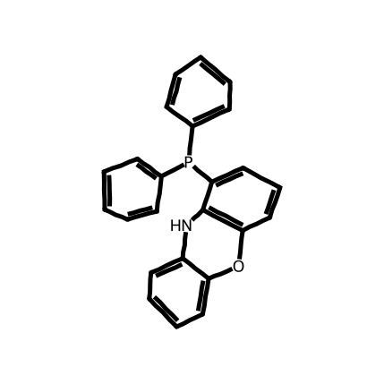 c1ccc(P(c2ccccc2)c2cccc3c2Nc2ccccc2O3)cc1